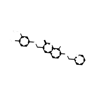 COc1cc(NCc2cc3ccc(OCc4ccccn4)c(Cl)c3[nH]c2=O)ccc1C#N